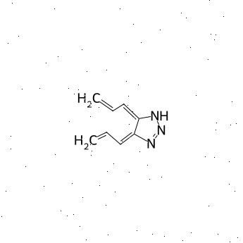 C=C/C=c1/nn[nH]/c1=C/C=C